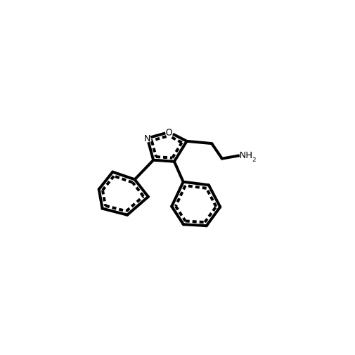 NCCc1onc(-c2ccccc2)c1-c1ccccc1